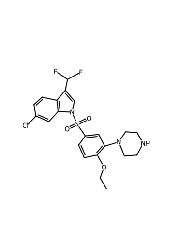 CCOc1ccc(S(=O)(=O)n2cc(C(F)F)c3ccc(Cl)cc32)cc1N1CCNCC1